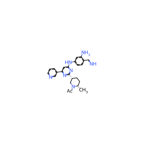 CC(=O)N1C[C@H](c2nc(Nc3ccc(C=N)c(N)c3)cc(-c3cccnc3)n2)CC[C@@H]1C